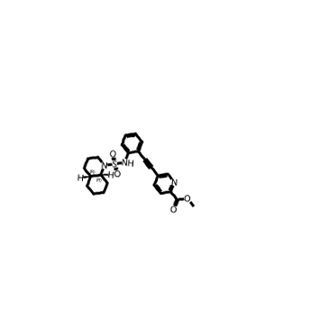 COC(=O)c1ccc(C#Cc2ccccc2NS(=O)(=O)N2CCC[C@H]3CCCC[C@H]32)cn1